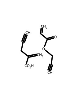 C#CCC(=C)C(=O)O.C#CCOC(=O)C=C